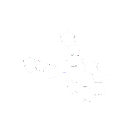 c1ccc2c(c1)oc1cc(N(c3ccc4oc5ccccc5c4c3)c3ccc4ccc5ccc6oc7ccccc7c6c5c4c3)ccc12